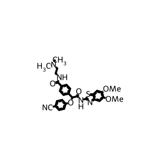 COc1cc2nc(NC(=O)C(Oc3ccc(C#N)cc3)c3ccc(C(=O)NCCN(C)C)cc3)sc2cc1OC